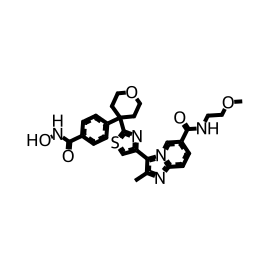 COCCNC(=O)c1ccc2nc(C)c(-c3csc(C4(c5ccc(C(=O)NO)cc5)CCOCC4)n3)n2c1